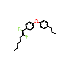 CCCCC/C(F)=C(\F)c1ccc(Oc2ccc(CCC)cc2)cc1